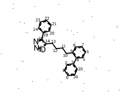 c1ccc(-c2ccccc2CCCCc2onnc2-c2ccccc2)cc1